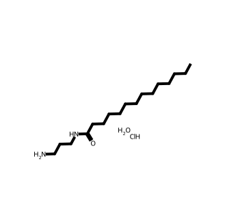 CCCCCCCCCCCCCC(=O)NCCCN.Cl.O